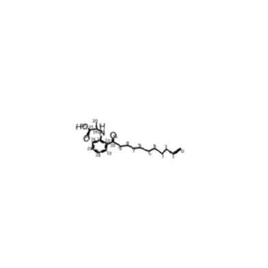 C=CCCCCCCCCC(=O)c1ccccc1NC(C)C(=O)O